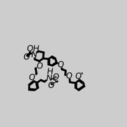 COc1ccccc1COCCCOc1ccc(C2CCN(C(=O)O)CC2OCCOc2ccccc2CCNS(C)(=O)=O)cc1